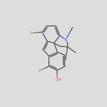 CN1CC(C)(C)CC23C(=Cc4c2ccc(O)c4F)C(F)=CC=C13